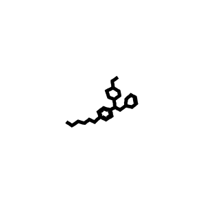 CCCCCCc1ccc(C(CC2CC=CCC2)C2CCC(CC)CC2)cc1